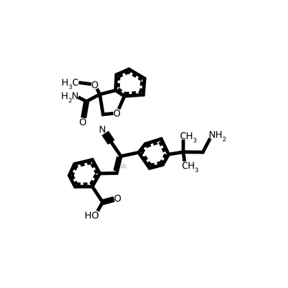 CC(C)(CN)c1ccc(/C(C#N)=C/c2ccccc2C(=O)O)cc1.COC1(C(N)=O)COc2ccccc21